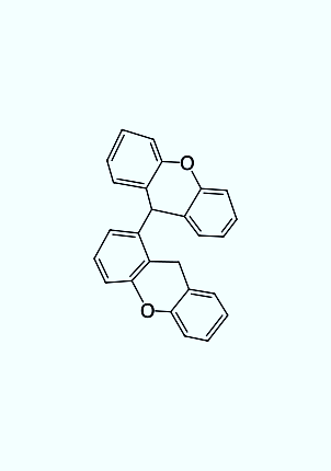 c1ccc2c(c1)Cc1c(cccc1C1c3ccccc3Oc3ccccc31)O2